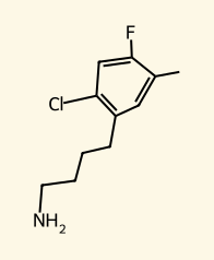 Cc1cc(CCCCN)c(Cl)cc1F